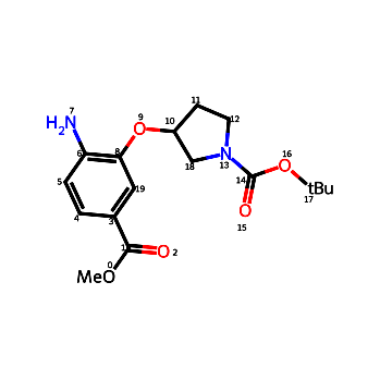 COC(=O)c1ccc(N)c(OC2CCN(C(=O)OC(C)(C)C)C2)c1